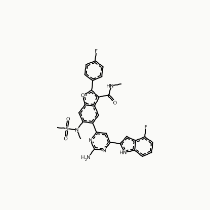 CNC(=O)c1c(-c2ccc(F)cc2)oc2cc(N(C)S(C)(=O)=O)c(-c3cc(-c4cc5c(F)cccc5[nH]4)nc(N)n3)cc12